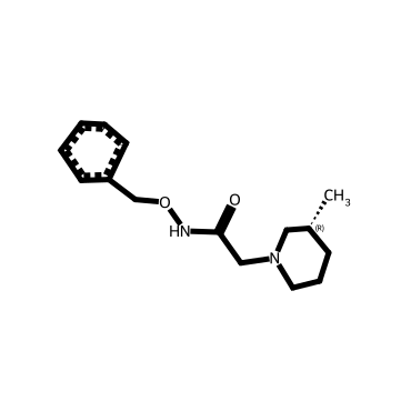 C[C@@H]1CCCN(CC(=O)NOCc2ccccc2)C1